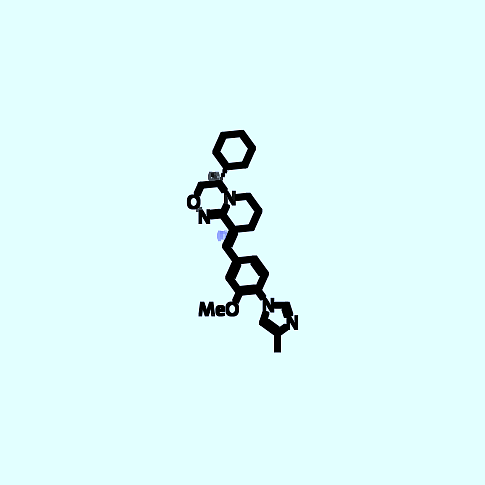 COc1cc(/C=C2\CCCN3C2=NOC[C@@H]3C2CCCCC2)ccc1-n1cnc(C)c1